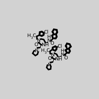 C[C@@H](CN1CC[C@@H](CNC(=O)c2ccc3ccccc3c2)N[C@@H](CCN2CCCCC2)C1=O)c1ccc(Cl)cc1.C[C@H](CN1CC[C@@H](CNC(=O)c2ccc3ccccc3c2)N[C@@H](CCN2CCCCC2)C1=O)c1ccc(Cl)cc1